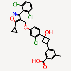 Cc1cc(C(=O)O)cc(C2CC(O)(c3ccc(OCc4c(-c5c(Cl)cccc5Cl)noc4C4CC4)cc3Cl)C2)c1